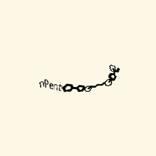 C=CC(=O)c1ccc(OCCCCCOc2ccc(C3CCC(CCCCC)CC3)cc2)cc1